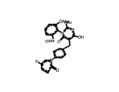 CCCCc1nc(O)c(Cc2ccc(-n3cc(F)ccc3=O)cc2)c(=O)n1-c1c(OC)cccc1OC